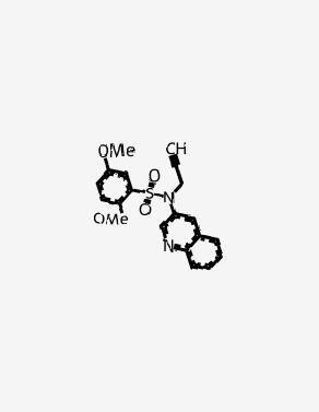 C#CCN(c1cnc2ccccc2c1)S(=O)(=O)c1cc(OC)ccc1OC